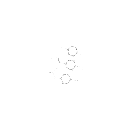 N[C@@H](Cc1ccc(O)cc1)C(=O)O.O=C(O)/C=C/c1ccc(O)cc1.O=C(O)c1ccc(O)cc1